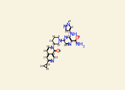 Cn1cc(Nc2nc(N3CCC[C@@H](n4ccc5cc(C6CC6)ncc5c4=O)C3)cnc2C(N)=O)cn1